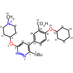 CCCCc1nnc(OC2CCN(C)CC2)cc1-c1ccc(OC2CCCCC2)c(C(=O)O)c1